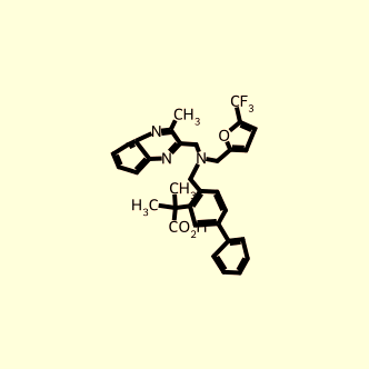 Cc1nc2ccccc2nc1CN(Cc1ccc(C(F)(F)F)o1)Cc1ccc(-c2ccccc2)cc1C(C)(C)C(=O)O